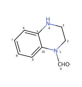 O=[C]N1CCNc2ccccc21